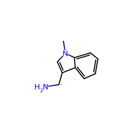 Cn1cc([CH]N)c2ccccc21